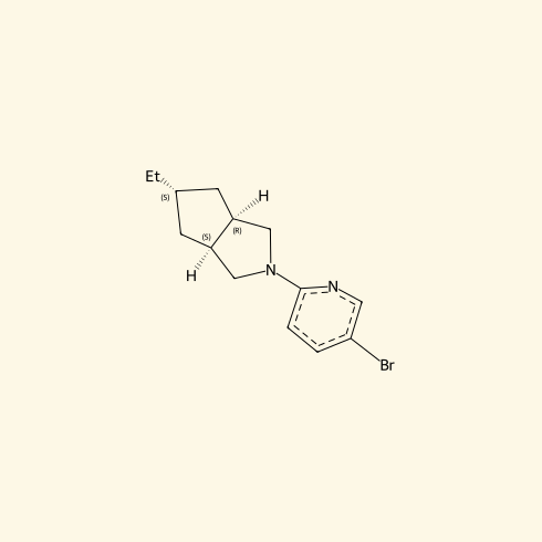 [CH2]C[C@H]1C[C@@H]2CN(c3ccc(Br)cn3)C[C@@H]2C1